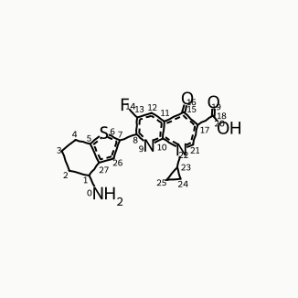 NC1CCCc2sc(-c3nc4c(cc3F)c(=O)c(C(=O)O)cn4C3CC3)cc21